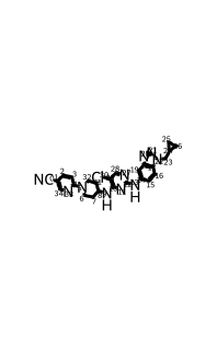 N#Cc1ccc(N2CCC(Nc3nc(Nc4ccc5c(c4)nnn5CC4CC4)ncc3Cl)CC2)nc1